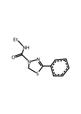 CCNC(=O)N1[CH]SC(c2ccccc2)=N1